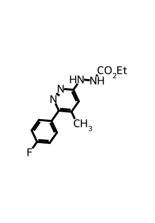 CCOC(=O)NNc1cc(C)c(-c2ccc(F)cc2)nn1